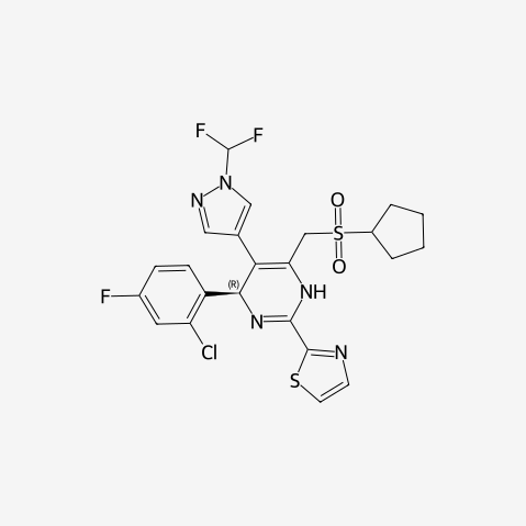 O=S(=O)(CC1=C(c2cnn(C(F)F)c2)[C@H](c2ccc(F)cc2Cl)N=C(c2nccs2)N1)C1CCCC1